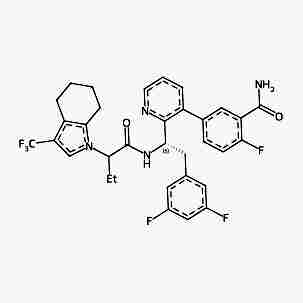 CCC(C(=O)N[C@@H](Cc1cc(F)cc(F)c1)c1ncccc1-c1ccc(F)c(C(N)=O)c1)n1cc(C(F)(F)F)c2c1CCCC2